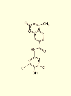 Cc1cc(=O)oc2cc(C(=O)Nc3cc(Cl)c(O)c(Cl)c3)ccc12